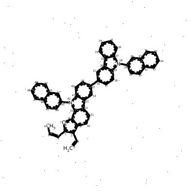 C=Cc1c(/C=C\C)oc2c1ccc1c3cc(-c4ccc5c(c4)c4ccccc4n5-c4ccc5ccccc5c4)ccc3n(-c3ccc4ccccc4c3)c12